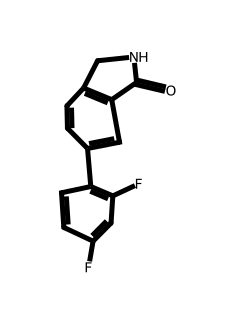 O=C1NCc2ccc(-c3ccc(F)cc3F)cc21